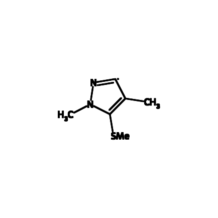 CSc1c(C)[c]nn1C